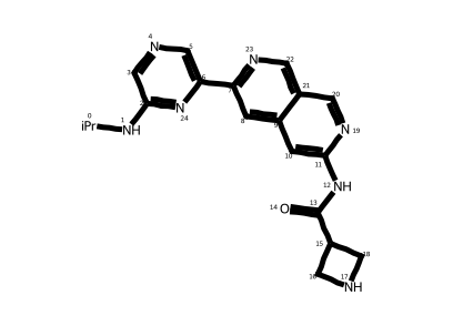 CC(C)Nc1cncc(-c2cc3cc(NC(=O)C4CNC4)ncc3cn2)n1